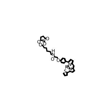 O=C(COc1ccc(-c2ccc3n2B(F)N2C(=C3)C=CC2c2cccs2)cc1)NCCCCCC(=O)ON1C(=O)CCC1=O